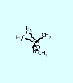 CCC[CH2][Sn]([CH2]CCC)([CH2]CCC)[c]1cnc(C)o1